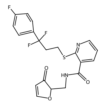 O=C(NCC1OC=CC1=O)c1cccnc1SCCC(F)(F)c1ccc(F)cc1